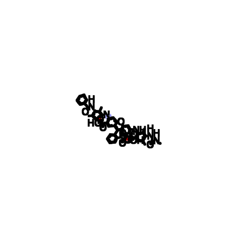 CNC(=O)Nc1c(C)cc(C)c(Nc2cc3oc4c/c(=N/c5c(C)cc(C)c(NC(=O)c6ccccc6)c5C)c(S(=O)(=O)O)cc-4c(-c4ccccc4S(=O)(=O)O)c3cc2S(=O)(=O)O)c1C